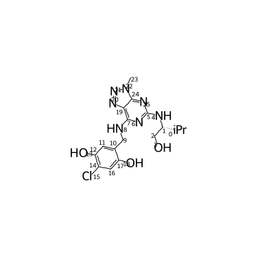 CC(C)[C@H](CO)Nc1nc(NCc2cc(O)c(Cl)cc2O)c2nnn(C)c2n1